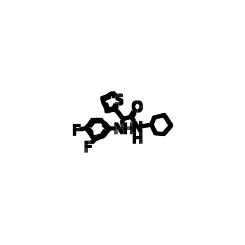 O=C(NC1CCCCC1)C(Nc1ccc(F)c(F)c1)c1cccs1